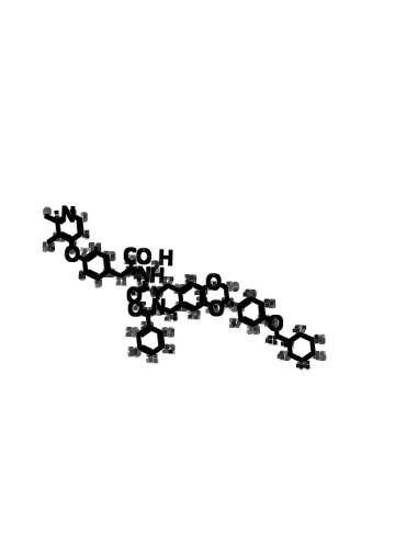 Cc1nccc(Oc2ccc(C[C@H](NC(=O)[C@@H]3Cc4cc5c(cc4CN3C(=O)c3ccccc3)O[C@@H](c3ccc(OCC4CCCCC4)cc3)CO5)C(=O)O)cc2)c1C